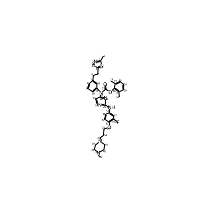 Cc1noc(CCc2cccc(N(C(=O)Oc3c(C)cccc3C)c3ccnc(Nc4ccc(OCCCN5CCN(C)CC5)c(F)c4)n3)c2)n1